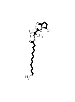 CCCCCCCCCCCCC(=S)SNC(C)(C)C(=O)ON1C(=O)CCC1=O